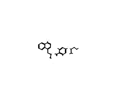 O=C(NC(Cc1ccc(Br)c2ccccc12)C(=O)O)c1c(F)cc(NC(CCF)C(F)F)cc1F